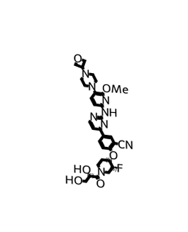 COc1nc(Nc2nccc(-c3ccc(O[C@H]4CCN(C(=O)[C@@H](O)CO)C[C@@H]4F)c(C#N)c3)n2)ccc1N1CCN(C2COC2)CC1